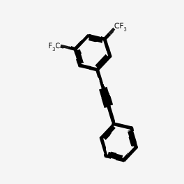 FC(F)(F)c1cc(C#Cc2ccccc2)cc(C(F)(F)F)c1